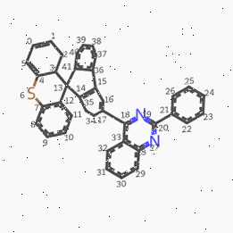 C1=CCC2C(=C1)Sc1ccccc1C21C2=C(C=C(c3nc(-c4ccccc4)nc4ccccc34)CC2)c2ccccc21